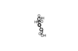 O=CC1(Nc2ccc(C3CCN(CC(=O)O)CC3)cc2)CCC(=O)NC1